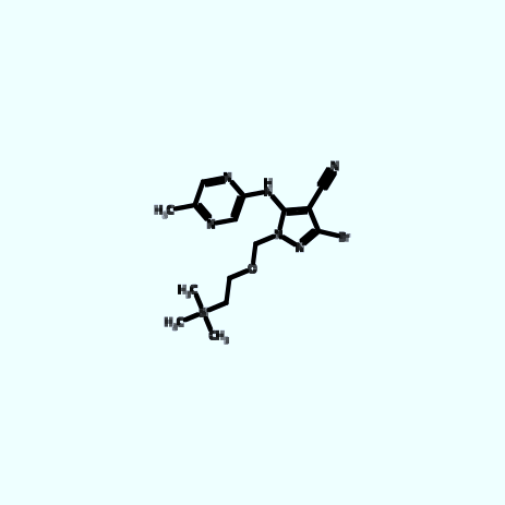 Cc1cnc(Nc2c(C#N)c(Br)nn2COCC[Si](C)(C)C)cn1